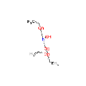 CC/C=C\CCCCOC(CCC(=O)OCCCCCCN(CCO)CCCCCCCC(=O)OCC/C=C\CCCC)OCCCC/C=C\CC